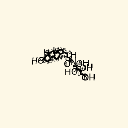 C[C@H](CCC(=O)NC[C@H](O)[C@@H](O)[C@H](O)CCO)C1CCC2[C@@H]3CC[C@@H]4C[C@H](O)CC[C@]4(C)C3CC[C@@]21C